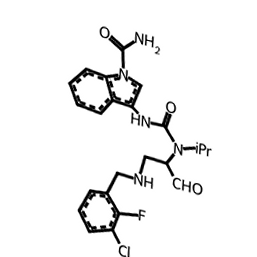 CC(C)N(C(=O)Nc1cn(C(N)=O)c2ccccc12)C(C=O)CNCc1cccc(Cl)c1F